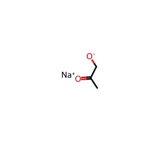 CC(=O)C[O-].[Na+]